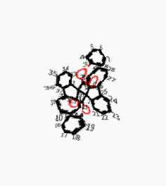 O=C(Oc1ccccc1)C1(C2(C(=O)Oc3ccccc3)c3ccccc3-c3ccccc32)c2ccccc2-c2ccccc21